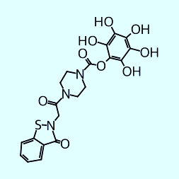 O=C(Cn1sc2ccccc2c1=O)N1CCN(C(=O)Oc2c(O)c(O)c(O)c(O)c2O)CC1